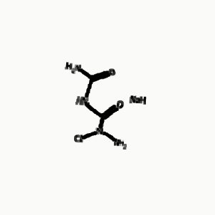 NC(=O)NC(=O)N(N)Cl.[NaH]